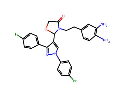 Nc1ccc(CCN2C(=O)COC2c2cn(-c3ccc(Br)cc3)nc2-c2ccc(F)cc2)cc1N